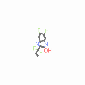 C=CC(F)(F)c1nc2cc(F)c(F)cc2nc1O